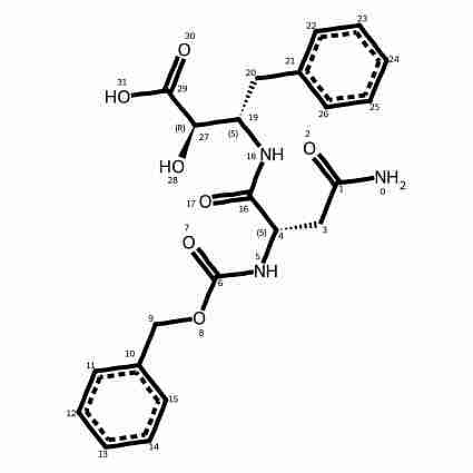 NC(=O)C[C@H](NC(=O)OCc1ccccc1)C(=O)N[C@@H](Cc1ccccc1)[C@@H](O)C(=O)O